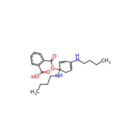 CCCCNC1=CCC(NCCCC)(OC(=O)c2ccccc2C(=O)O)C=C1